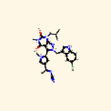 CC(=NC#N)c1cc(-c2c3c(=O)n(C)c(=O)n(CC(C)C)c3nn2Cc2c[nH]c3ccc(Cl)cc23)n(C)c1